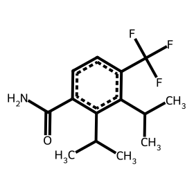 CC(C)c1c(C(N)=O)ccc(C(F)(F)F)c1C(C)C